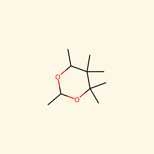 CC1OC(C)C(C)(C)C(C)(C)O1